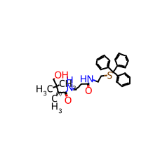 C[C@@H](C(=O)NCCC(=O)NCCSC(c1ccccc1)(c1ccccc1)c1ccccc1)C(C)(C)CO